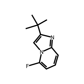 CC(C)(C)c1cn2c(F)cccc2n1